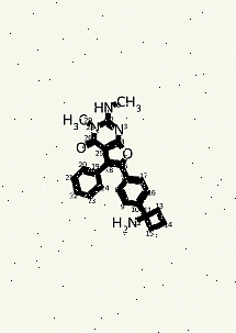 CNc1nc2oc(-c3ccc(C4(N)CCC4)cc3)c(-c3ccccc3)c2c(=O)n1C